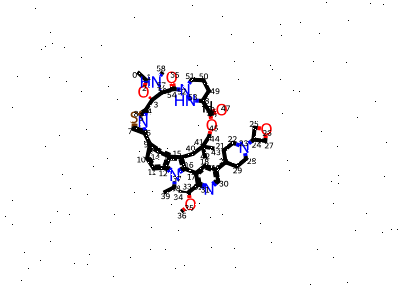 CCO[C@@H]1c2nc(cs2)-c2ccc3c(c2)c(c(-c2cc(C4CCN(C5COC5)CC4)cnc2[C@H](C)OC)n3CC)CC(C)(C)COC(=O)[C@@H]2CCCN(N2)C(=O)[C@H]1NC